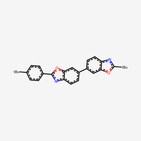 CC(C)(C)c1ccc(-c2nc3ccc(-c4ccc5nc(C(C)(C)C)oc5c4)cc3o2)cc1